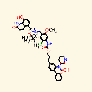 COc1cc(NC(=O)OCCCc2ccc(-c3ccccc3)c(N(C(=O)O)C3CN4CCC3CC4)c2)c(Cl)cc1CNC[C@H](O[Si](C)(C)C(C)(C)C)c1ccc(O)c2[nH]c(=O)ccc12